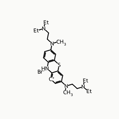 CCN(CC)CCN(C)C1=C[C+]=C2Nc3ccc(N(C)CCN(CC)CC)cc3SC2=C1.[Br-]